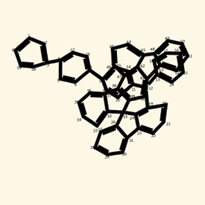 c1ccc(-c2ccc(-c3ccc(N(c4ccccc4)c4cccc5c4C4(c6ccccc6-5)c5ccccc5-c5c4cc4c6c(cccc56)-c5ccccc5-4)cc3)cc2)cc1